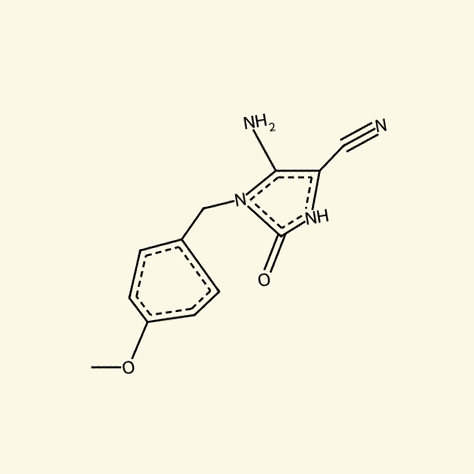 COc1ccc(Cn2c(N)c(C#N)[nH]c2=O)cc1